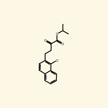 CC(C)OC(=O)C(=O)CCc1ccc2ccccc2c1Cl